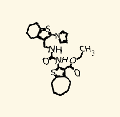 CCOC(=O)c1c(NC(=O)NCc2c(-n3cccc3)sc3c2CCCC3)sc2c1CCCCC2